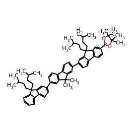 CC(C)CCC1(CCC(C)C)c2ccccc2-c2ccc(-c3ccc4c(c3)C(C)(C)c3cc(-c5ccc6c(c5)C(CCC(C)C)(CCC(C)C)c5cc(B7OC(C)(C)C(C)(C)O7)ccc5-6)ccc3-4)cc21